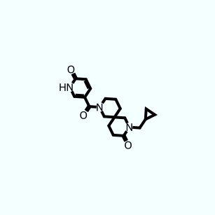 O=C1CCC2(CCCN(C(=O)c3ccc(=O)[nH]c3)C2)CN1CC1CC1